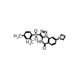 Cc1ccc(S(=O)(=O)c2nnn3c2[nH]c(=O)c2ccc(N4CCC4)cc23)c(C)c1